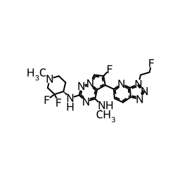 CNc1nc(N[C@@H]2CCN(C)CC2(F)F)nn2cc(F)c(-c3ccc4nnn(CCF)c4n3)c12